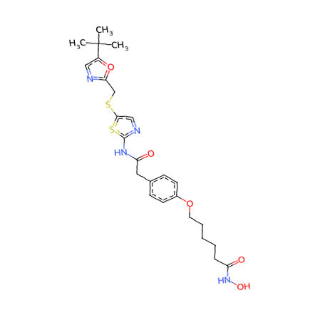 CC(C)(C)c1cnc(CSc2cnc(NC(=O)Cc3ccc(OCCCCCC(=O)NO)cc3)s2)o1